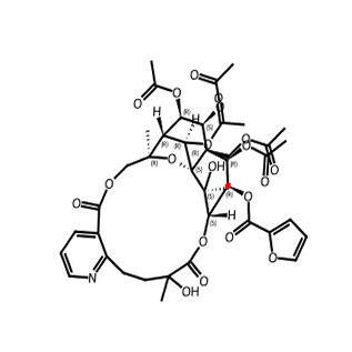 CC(=O)OC[C@]12[C@H](OC(C)=O)[C@H](OC(C)=O)[C@@H]3[C@@H](OC(C)=O)[C@@]14O[C@@]3(C)COC(=O)c1cccnc1CCC(C)(O)C(=O)O[C@@H]([C@H](OC(=O)c1ccco1)[C@@H]2OC(C)=O)[C@]4(C)O